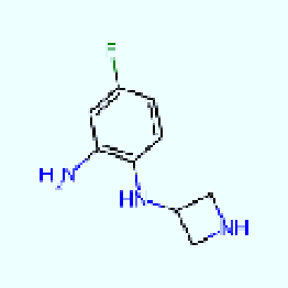 Nc1cc(F)ccc1NC1CNC1